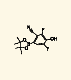 CC1(C)OB(c2cc(F)c(O)c(F)c2C#N)OC1(C)C